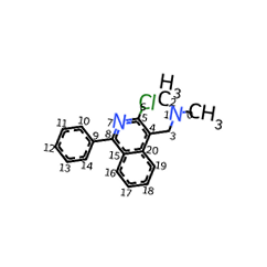 CN(C)Cc1c(Cl)nc(-c2ccccc2)c2ccccc12